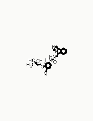 CC(C)(O)CCOc1cc(NC(=O)NCC2c3ccccc3-c3cncn32)ccc1C#N